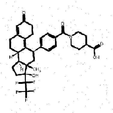 CC12C[C@H](c3ccc(C(=O)N4CCC(C(=O)O)CC4)cc3)C3=C4CCC(=O)C=C4CC[C@H]3[C@@H]1CC[C@@]2(O)C(F)(F)C(F)(F)F